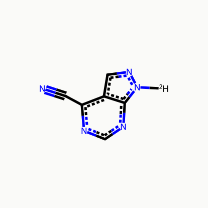 [2H]n1ncc2c(C#N)ncnc21